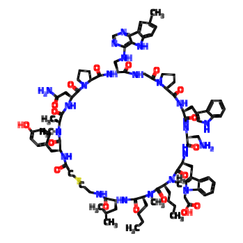 CCCC[C@H]1C(=O)N(C)[C@@H](CCCC)C(=O)N[C@@H](CC(C)C)C(=O)NCCSCC(=O)N[C@@H](Cc2ccc(O)cc2)C(=O)N(C)[C@@H](C)C(=O)N[C@@H](CC(N)=O)C(=O)N2CCCC2C(=O)N[C@@H](CNc2ncnc3c2[nH]c2ccc(C)cc23)C(=O)NCC(=O)N2CCCC2C(=O)N[C@@H](Cc2c[nH]c3ccccc23)C(=O)N[C@@H](CN)C(=O)N[C@@H](Cc2cn(CC(=O)O)c3ccccc23)C(=O)N1C